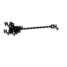 CC#CC#CC#CC#CC#CC#CC#CC#CC#CC#CC(=O)N[C@H]1C[C@H](COC)C(OP(O)(=S)OC)[C@@H]1OC